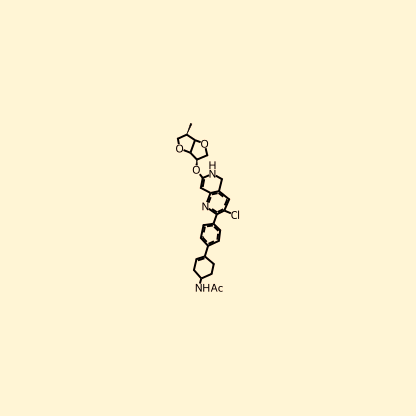 CC(=O)NC1CC=C(c2ccc(-c3nc4c(cc3Cl)CNC(O[C@@H]3COC5C3OC[C@H]5C)=C4)cc2)CC1